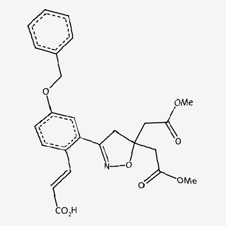 COC(=O)CC1(CC(=O)OC)CC(c2cc(OCc3ccccc3)ccc2C=CC(=O)O)=NO1